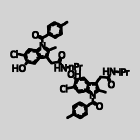 CCCNC(=O)Cc1c(C)n(C(=O)c2ccc(C)cc2)c2cc(Cl)c(O)cc12.Cc1ccc(C(=O)n2c(C)c(CC(=O)NC(C)C)c3cc(O)c(Cl)cc32)cc1